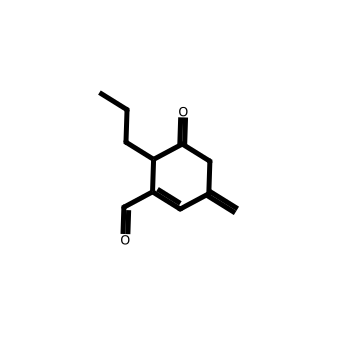 C=C1C=C(C=O)C(CCC)C(=O)C1